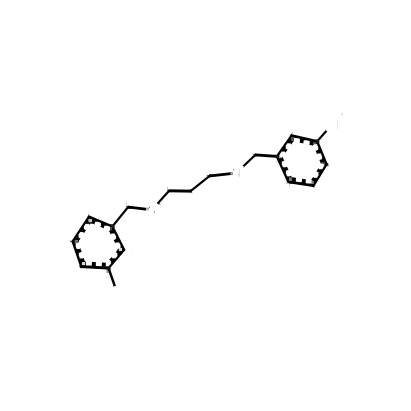 Clc1cccc(CNCCCNCc2cccc(Cl)c2)c1